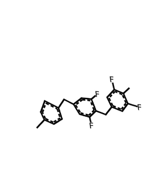 Cc1ccc(Cc2cc(F)c(Cc3cc(F)c(C)c(F)c3)c(F)c2)cc1